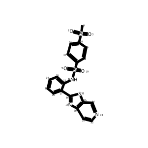 CS(=O)(=O)c1ccc(S(=O)(=O)Nc2ccccc2-c2nc3ccncc3s2)cc1